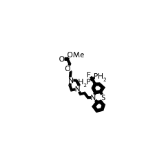 COC(=O)COCCN1CCN(CCCN2c3ccccc3Sc3ccc(C(F)(P)P)cc32)CC1